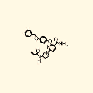 C=CC(=O)NC1CCN(c2ccc(C(N)=O)c(Oc3ccc(OCc4ccccc4)cc3)n2)C1